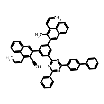 C#Cc1c(-c2cc(-c3nc(-c4ccccc4)nc(-c4ccc(-c5ccccc5)cc4)n3)cc(-c3cc4ccccc4c(/C=C\C)c3C)c2)cc2ccccc2c1/C=C\C